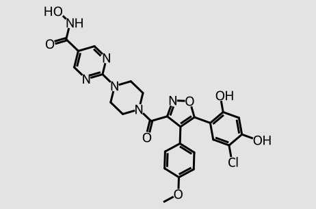 COc1ccc(-c2c(C(=O)N3CCN(c4ncc(C(=O)NO)cn4)CC3)noc2-c2cc(Cl)c(O)cc2O)cc1